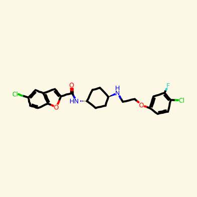 O=C(N[C@H]1CC[C@H](NCCOc2ccc(Cl)c(F)c2)CC1)c1cc2cc(Cl)ccc2o1